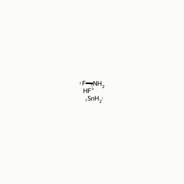 F.NF.[SnH2]